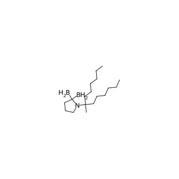 BC1(B)CCCN1C(C)(CCCCCC)CCCCCC